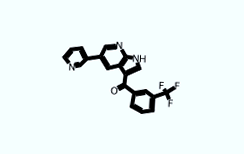 O=C(c1cccc(C(F)(F)F)c1)c1c[nH]c2ncc(-c3cccnc3)cc12